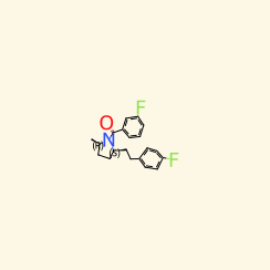 C[C@@H]1CC[C@H](CCc2ccc(F)cc2)N1C(=O)c1cccc(F)c1